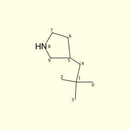 CC(C)(C)[CH]C1CCNC1